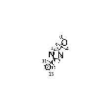 COC(C)(C)C1=NCC(C(C)(C)OC)=NC1